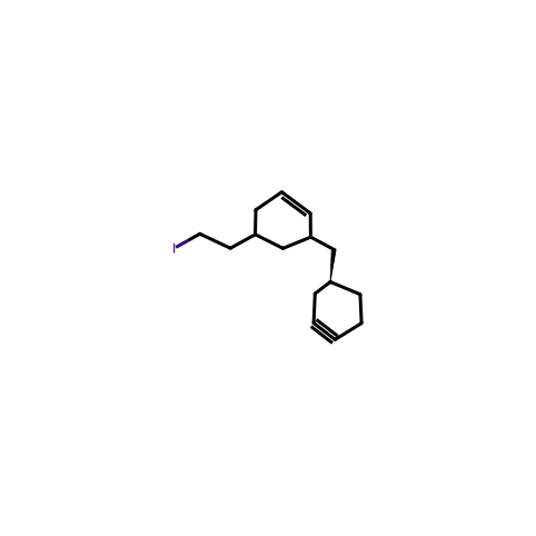 ICCC1CC=CC(C[C@@H]2CC#CCC2)C1